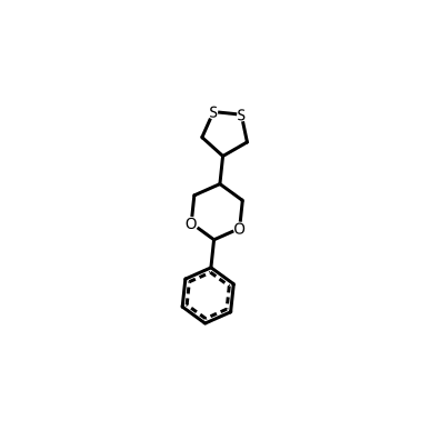 c1ccc(C2OCC(C3CSSC3)CO2)cc1